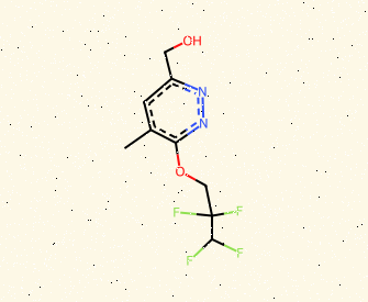 Cc1cc(CO)nnc1OCC(F)(F)C(F)F